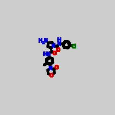 Cc1cc(NC(=O)[C@H]2C[C@H](N)CN2C(=O)Nc2ccc(Cl)cc2)ccc1N1CCOCC1=O